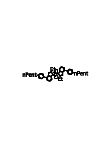 CCCCCc1ccc(-c2cccc3c2C=C(CC)[CH]3[Zr]([Cl])([Cl])[CH]2C(CC)=Cc3c(-c4ccc(CCCCC)cc4)cccc32)cc1